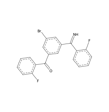 N=C(c1cc(Br)cc(C(=O)c2ccccc2F)c1)c1ccccc1F